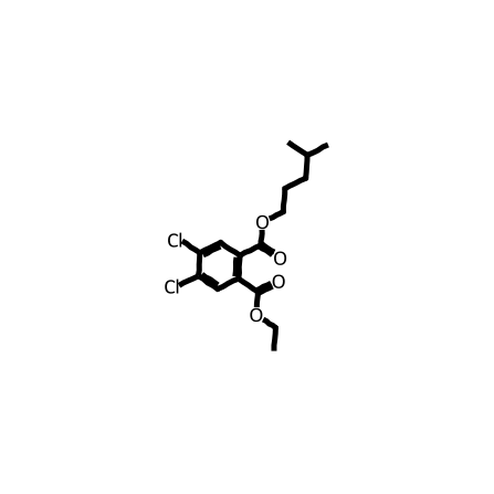 CCOC(=O)c1cc(Cl)c(Cl)cc1C(=O)OCCCC(C)C